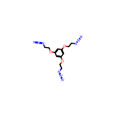 [N-]=[N+]=NCCOc1cc(OCCN=[N+]=[N-])cc(OCCN=[N+]=[N-])c1